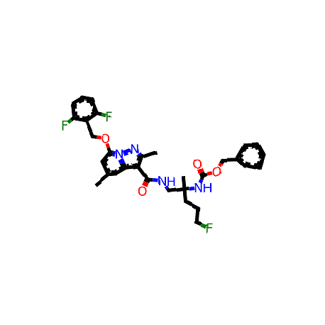 Cc1cc(OCc2c(F)cccc2F)n2nc(C)c(C(=O)NCC(C)(CCCF)NC(=O)OCc3ccccc3)c2c1